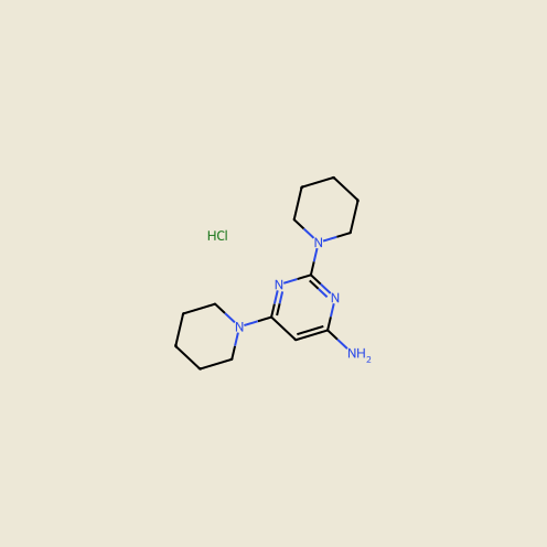 Cl.Nc1cc(N2CCCCC2)nc(N2CCCCC2)n1